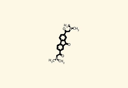 CN(C)CC(=O)c1ccc2c(c1)C(=O)c1cc(C(=O)CN(C)C)ccc1-2